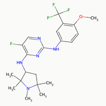 COc1ccc(Nc2ncc(F)c(NC3CC(C)(C)N(C)C3(C)C)n2)cc1C(F)(F)F